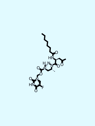 CCCCCCCC(=O)N[C@@H](CC(C)=O)C(=O)N(N)[C@H](C)CN(C)C(=O)OCn1cc(F)c(=O)[nH]c1=O